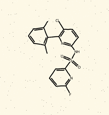 Cc1cccc(C)c1-c1nc(NS(=O)(=O)c2cccc(F)n2)ccc1Cl